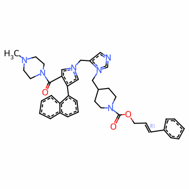 CN1CCN(C(=O)c2cn(Cc3cncn3CC3CCN(C(=O)OC/C=C/c4ccccc4)CC3)cc2-c2cccc3ccccc23)CC1